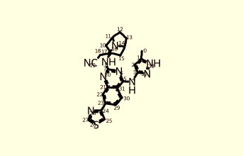 Cc1cc(Nc2nc(NC3CC4CCC(C3)N4CCC#N)nc3cc(-c4cscn4)ccc23)n[nH]1